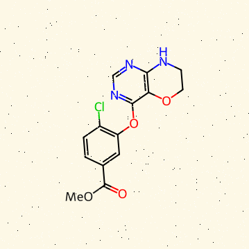 COC(=O)c1ccc(Cl)c(Oc2ncnc3c2OCCN3)c1